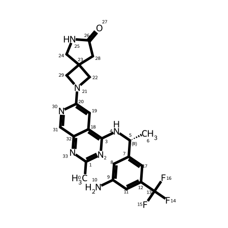 Cc1nc(N[C@H](C)c2cc(N)cc(C(F)(F)F)c2)c2cc(N3CC4(CNC(=O)C4)C3)ncc2n1